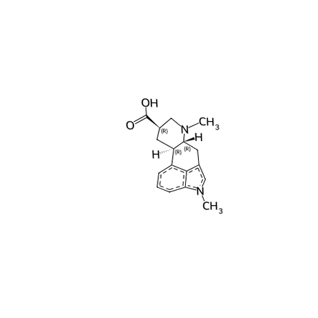 CN1C[C@H](C(=O)O)C[C@@H]2c3cccc4c3c(cn4C)C[C@H]21